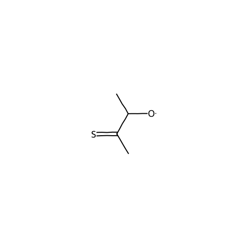 CC(=S)C(C)[O]